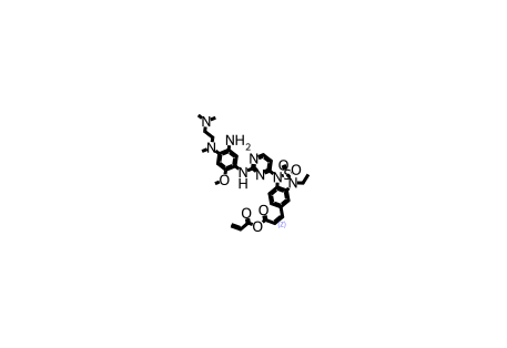 C=CC(=O)OC(=O)/C=C\c1ccc2c(c1)N(CC)S(=O)(=O)N2c1ccnc(Nc2cc(N)c(N(C)CCN(C)C)cc2OC)n1